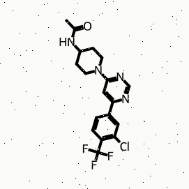 CC(=O)NC1CCN(c2cc(-c3ccc(C(F)(F)F)c(Cl)c3)ncn2)CC1